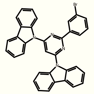 Brc1cccc(-c2nc(-n3c4ccccc4c4ccccc43)cc(-n3c4ccccc4c4ccccc43)n2)c1